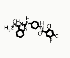 CN(C)c1nc(NC2CCC(NC(=O)c3cc(F)c(Cl)cc3Cl)CC2)nc2c1CCCC2